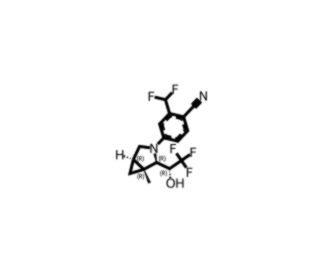 C[C@@]12C[C@H]1CN(c1ccc(C#N)c(C(F)F)c1)[C@H]2[C@@H](O)C(F)(F)F